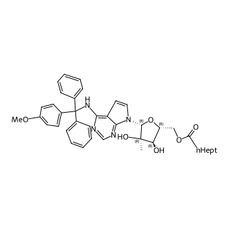 CCCCCCCC(=O)OC[C@H]1O[C@@H](n2ccc3c(NC(c4ccccc4)(c4ccccc4)c4ccc(OC)cc4)ncnc32)[C@](C)(O)[C@@H]1O